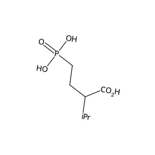 CC(C)C(CCP(=O)(O)O)C(=O)O